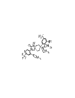 Cc1cc(F)cc([C@]2(N(C)C)CC[C@@]3(CC2)CN(c2cnc(C(F)(F)F)cc2C)C(=O)N3)c1